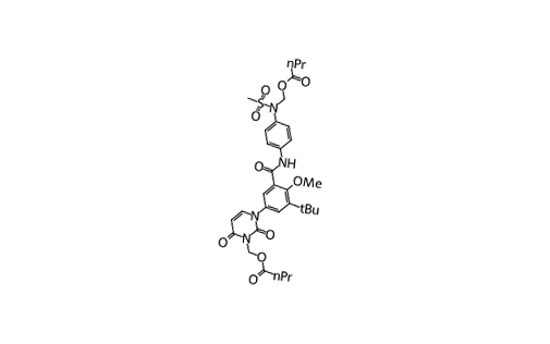 CCCC(=O)OCN(c1ccc(NC(=O)c2cc(-n3ccc(=O)n(COC(=O)CCC)c3=O)cc(C(C)(C)C)c2OC)cc1)S(C)(=O)=O